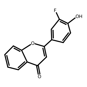 O=c1cc(-c2ccc(O)c(F)c2)oc2ccccc12